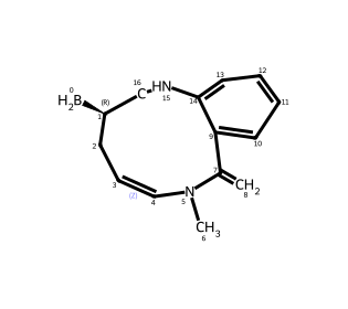 B[C@@H]1C/C=C\N(C)C(=C)c2ccccc2NC1